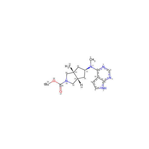 CN(c1ncnc2[nH]ccc12)[C@H]1C[C@@H]2CN(C(=O)OC(C)(C)C)C[C@]2(C)C1